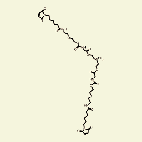 CN(CCOC(=O)CNC(=O)OCCOCCNC(=O)CCCCCN1C(=O)C=CC1=O)CCOC(=O)CNC(=O)OCCOCCNC(=O)CCCCCN1C(=O)C=CC1=O